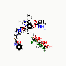 CC(C)c1cc(OC(=O)[C@H](C)N)cc(C(C)C)c1NC(=O)CN1CCN(CCSc2nc3ccccc3o2)CC1.O=C(O)C(F)(F)F.O=C(O)C(F)(F)F.O=C(O)C(F)(F)F